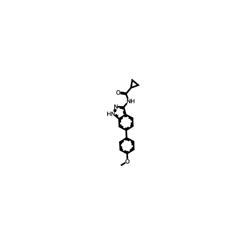 COc1ccc(-c2ccc3c(NC(=O)C4CC4)n[nH]c3c2)cc1